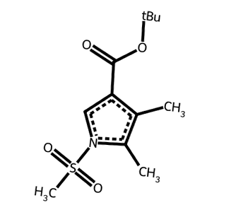 Cc1c(C(=O)OC(C)(C)C)cn(S(C)(=O)=O)c1C